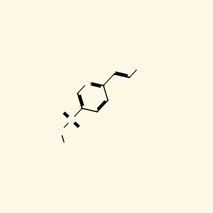 CCOC(=O)/C=C/c1ccc(S(=O)(=O)NC(C)(C)C)cn1